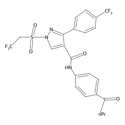 CCCC(=O)c1ccc(NC(=O)c2cn(S(=O)(=O)CC(F)(F)F)nc2-c2ccc(C(F)(F)F)cc2)cc1